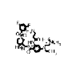 CCN(CCN(C)C)c1ccc(C(=O)Nc2n[nH]c3c2CN(S(=O)(=O)c2cc(F)cc(F)c2)CC3)c(NC(=O)CCN)c1